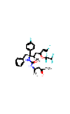 C=C(CC(/C=C/F)OC(F)(F)C(F)F)[C@](Cc1ccccc1)(NC(=O)NC(CC(=O)OC)C(F)(F)F)c1ccc(F)cc1